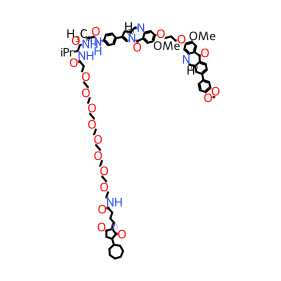 COc1cc2c(cc1OCCCOc1cc3c(cc1OC)C(=O)N1C=C(c4ccc(NC(=O)[C@H](C)NC(=O)C(NC(=O)CCOCCOCCOCCOCCOCCOCCOCCOCCNC(=O)CC/C=C5\C(=O)CC(C6CCCCCC6)C5=O)C(C)C)cc4)C[C@H]1C=N3)N=C[C@@H]1CC(c3ccc4c(c3)OCO4)=CC=C1C2=O